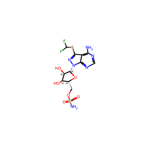 Nc1ncnc2c1c(SC(F)F)nn2[C@@H]1O[C@H](COS(N)(=O)=O)[C@@H](O)[C@H]1O